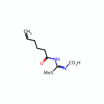 C=CCCCC(=O)NC(=NC(=O)O)SC